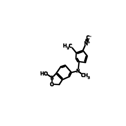 [C-]#[N+]c1ccc(N(C)c2ccc3c(c2)COB3O)cc1C